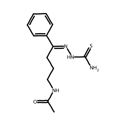 CC(=O)NCCCC(=NNC(N)=S)c1ccccc1